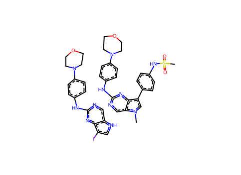 Cn1cc(-c2ccc(NS(C)(=O)=O)cc2)c2nc(Nc3ccc(N4CCOCC4)cc3)ncc21.Ic1c[nH]c2cnc(Nc3ccc(N4CCOCC4)cc3)nc12